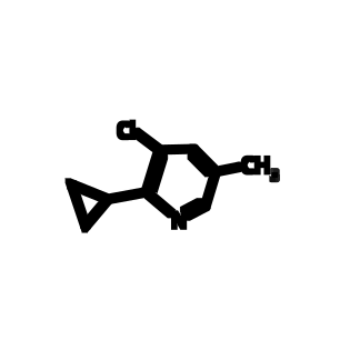 Cc1cnc(C2CC2)c(Cl)c1